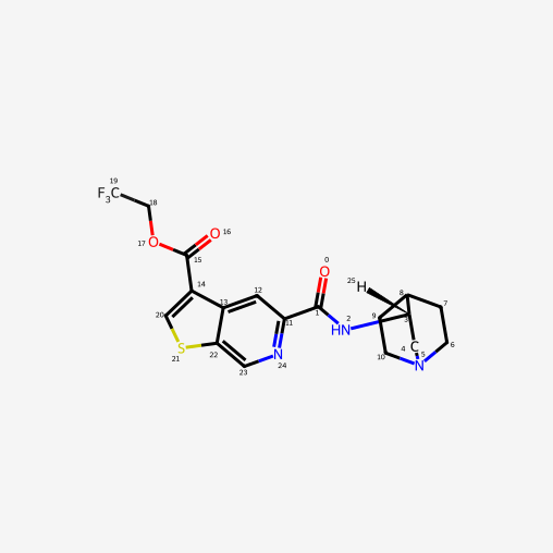 O=C(N[C@H]1CN2CCC1CC2)c1cc2c(C(=O)OCC(F)(F)F)csc2cn1